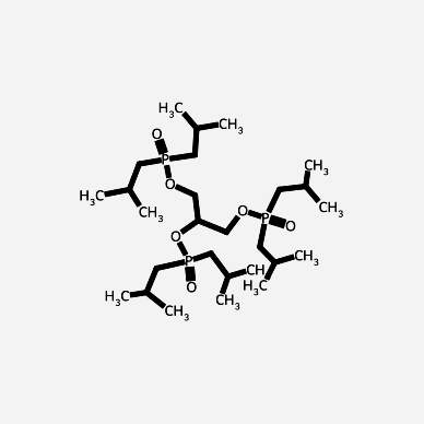 CC(C)CP(=O)(CC(C)C)OCC(COP(=O)(CC(C)C)CC(C)C)OP(=O)(CC(C)C)CC(C)C